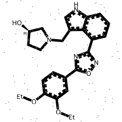 CCOc1ccc(-c2nc(-c3cccc4[nH]cc(CN5CC[C@@H](O)C5)c34)no2)cc1OCC